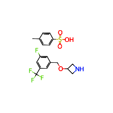 Cc1ccc(S(=O)(=O)O)cc1.Fc1cc(COC2CNC2)cc(C(F)(F)F)c1